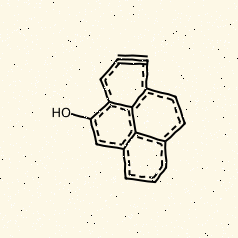 Oc1cc2cccc3ccc4c#ccc1c4c32